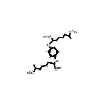 CCCCCCCCCCC(C)CCCCC(CCCCCCCCC)Oc1ccc(OC(CCCCCCCCC)CCCCC(C)CCCCCCCCCC)cc1